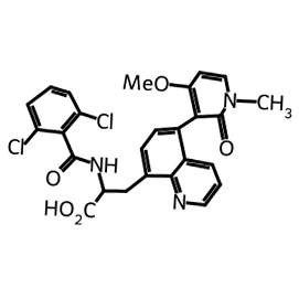 COc1ccn(C)c(=O)c1-c1ccc(CC(NC(=O)c2c(Cl)cccc2Cl)C(=O)O)c2ncccc12